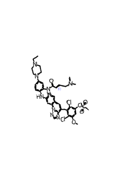 CCN1CCN(c2ccc(Nc3cc4c(cn3)cc(-c3c(Cl)c(OC)cc(OS(C)(=O)=O)c3Cl)c3ncnn34)c(NC(=O)/C=C/CN(C)C)c2)CC1